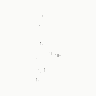 CS(=O)(=O)c1ccc(-n2[nH]cc(-n3ccnn3)c2=O)nc1